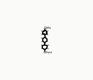 CCCCCC1CCC(C2CCC(c3ccc(OC)cc3)CC2)CC1